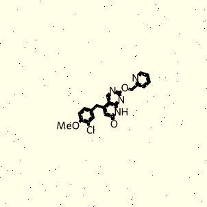 COc1ccc(Cc2cc(=O)[nH]c3nc(OCc4ccccn4)ncc23)cc1Cl